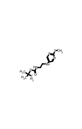 CSc1ncc(NCCNC(=O)OC(C)(C)C)cn1